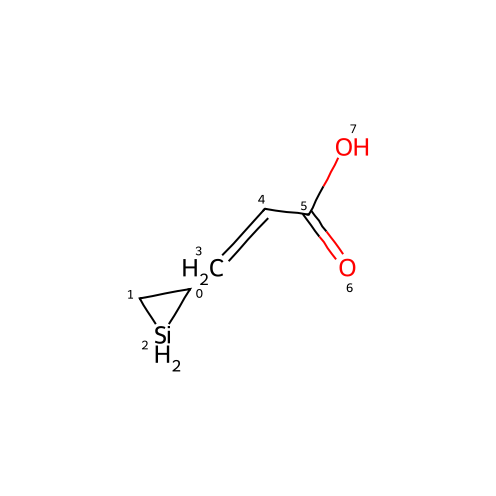 C1C[SiH2]1.C=CC(=O)O